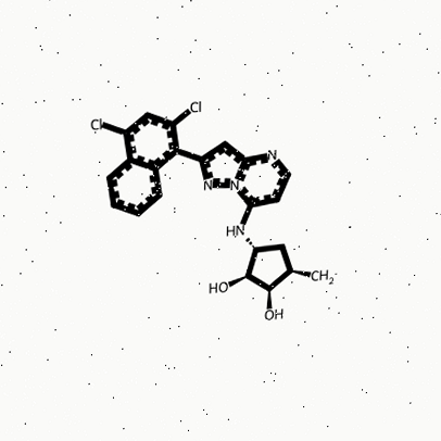 [CH2][C@@H]1C[C@@H](Nc2ccnc3cc(-c4c(Cl)cc(Cl)c5ccccc45)nn23)[C@H](O)[C@@H]1O